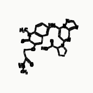 CNC(=O)COc1cc2cc(Nc3cc(N4CCCC4C(=O)O)nc4ncnn34)ccc2n(C)c1=O